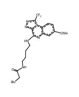 CCC(C)CC(=O)NCCCCNc1nc2cc(OC)ccc2n2c(C(F)(F)F)nnc12